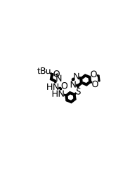 CC(C)(C)c1cc(NC(=O)Nc2cccc(Sc3ncnc4cc5c(cc34)OCCO5)c2)no1